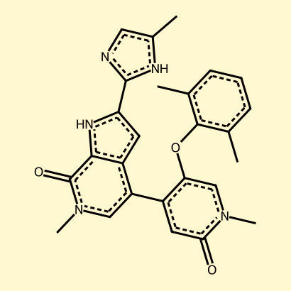 Cc1cnc(-c2cc3c(-c4cc(=O)n(C)cc4Oc4c(C)cccc4C)cn(C)c(=O)c3[nH]2)[nH]1